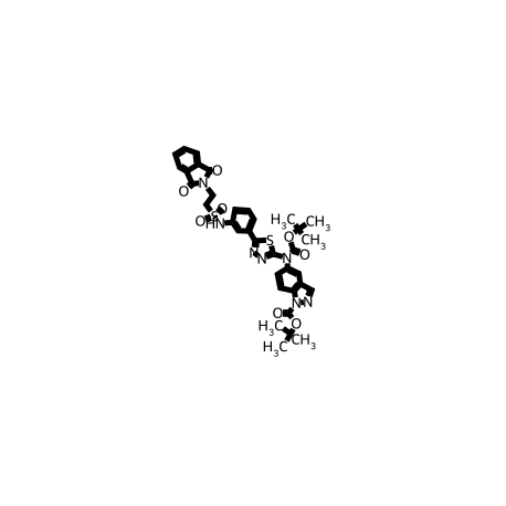 CC(C)(C)OC(=O)N(c1ccc2c(cnn2C(=O)OC(C)(C)C)c1)c1nnc(-c2cccc(NS(=O)(=O)CCN3C(=O)c4ccccc4C3=O)c2)s1